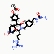 N=C(N)NCCC[C@H](C(N)=O)N(Cc1ccc(CNC(N)=O)cc1)C(=O)C(c1ccc(O)cc1)c1ccc(OC(=O)C(F)(F)F)cc1